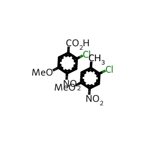 COc1cc(C(=O)O)c(Cl)cc1[N+](=O)[O-].COc1cc(C)c(Cl)cc1[N+](=O)[O-]